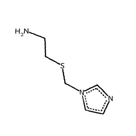 NCCSCn1ccnc1